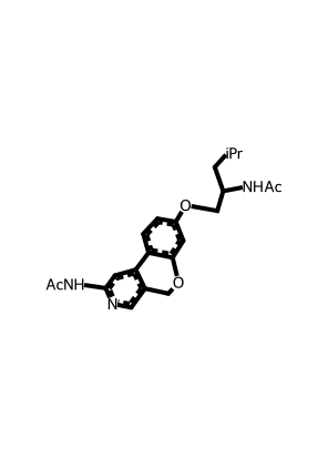 CC(=O)Nc1cc2c(cn1)COc1cc(OCC(CC(C)C)NC(C)=O)ccc1-2